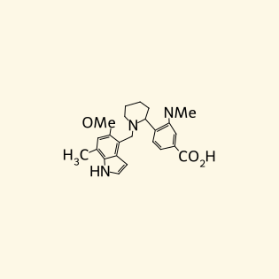 CNc1cc(C(=O)O)ccc1C1CCCCN1Cc1c(OC)cc(C)c2[nH]ccc12